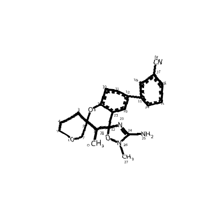 CC1C2(CCCOC2)Oc2ccc(-c3cccc(C#N)c3)cc2C12N=C(N)N(C)O2